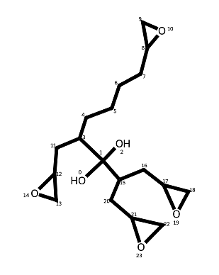 OC(O)(C(CCCCC1CO1)CC1CO1)C(CC1CO1)CC1CO1